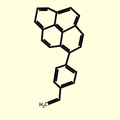 C=Cc1ccc(-c2ccc3ccc4cccc5ccc2c3c45)cc1